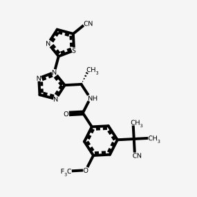 C[C@H](NC(=O)c1cc(OC(F)(F)F)cc(C(C)(C)C#N)c1)c1ncnn1-c1ncc(C#N)s1